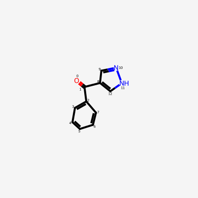 O=C(c1ccccc1)c1cn[nH]c1